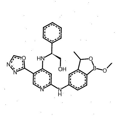 COB1OC(C)c2cc(Nc3cc(N[C@H](CO)c4ccccc4)c(-c4nnco4)cn3)ccc21